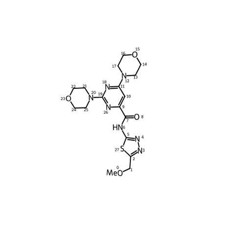 COCc1nnc(NC(=O)c2cc(N3CCOCC3)nc(N3CCOCC3)n2)s1